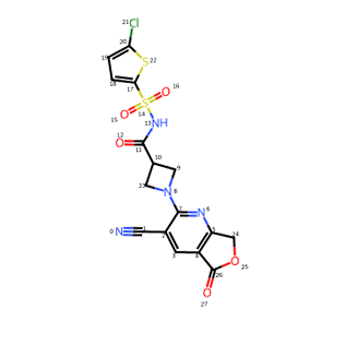 N#Cc1cc2c(nc1N1CC(C(=O)NS(=O)(=O)c3ccc(Cl)s3)C1)COC2=O